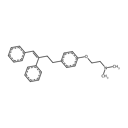 CN(C)CCOc1ccc(CCC(=Cc2ccccc2)c2ccccc2)cc1